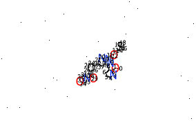 COc1ncccc1-c1nn(COCC[Si](C)(C)C)c2ncc(-c3cccc(C(=O)N4CCOCC4)c3)cc12